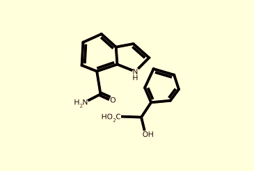 NC(=O)c1cccc2cc[nH]c12.O=C(O)C(O)c1ccccc1